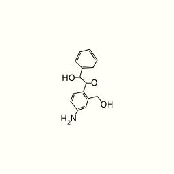 Nc1ccc(C(=O)C(O)c2ccccc2)c(CO)c1